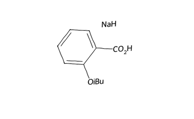 CC(C)COc1ccccc1C(=O)O.[NaH]